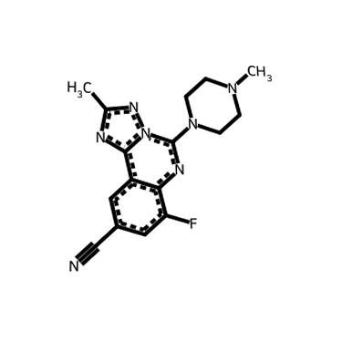 Cc1nc2c3cc(C#N)cc(F)c3nc(N3CCN(C)CC3)n2n1